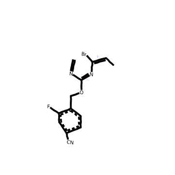 C=N/C(=N\C(Br)=C/C)OCc1ccc(C#N)cc1F